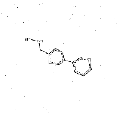 CCCNCc1ccc(-c2c[c]ccc2)cc1